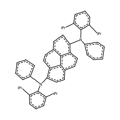 CC(C)c1cccc(C(C)C)c1N(c1ccccc1)c1ccc2ccc3c(N(c4ccccc4)c4c(C(C)C)cccc4C(C)C)ccc4ccc1c2c43